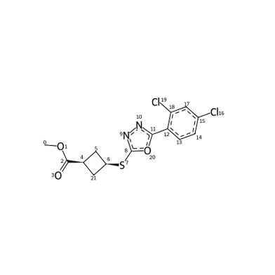 COC(=O)[C@H]1C[C@@H](Sc2nnc(-c3ccc(Cl)cc3Cl)o2)C1